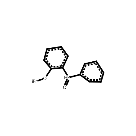 CC(C)Oc1ccccc1[PH](=O)c1ccccc1